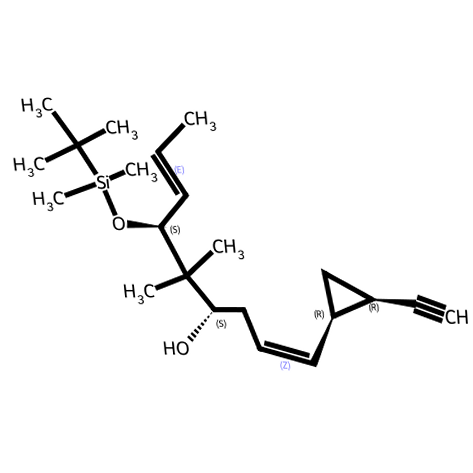 C#C[C@@H]1C[C@@H]1/C=C\C[C@H](O)C(C)(C)[C@H](/C=C/C)O[Si](C)(C)C(C)(C)C